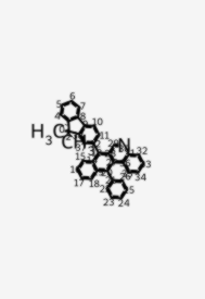 CC1(C)c2ccccc2-c2ccc(-c3c4ccccc4c(-c4ccccc4)c4c3cnc3ccccc34)cc21